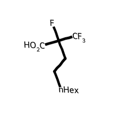 CCCCCCCCC(F)(C(=O)O)C(F)(F)F